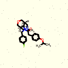 CC(C)Oc1ccc(CC(=O)N(Cc2ccc(F)cc2)[C@@H]2[C@@H]3COC[C@H]2CN(C)C3)cc1